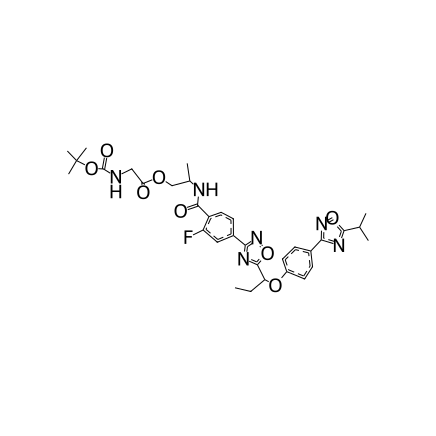 CCC(Oc1ccc(-c2noc(C(C)C)n2)cc1)c1nc(-c2ccc(C(=O)NC(C)COC(=O)CNC(=O)OC(C)(C)C)c(F)c2)no1